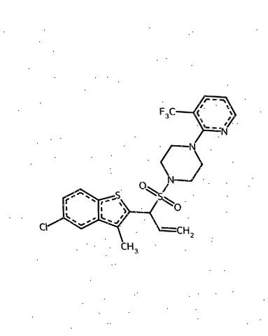 C=CC(c1sc2ccc(Cl)cc2c1C)S(=O)(=O)N1CCN(c2ncccc2C(F)(F)F)CC1